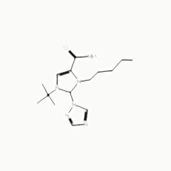 CCCCCN1C(C(N)=O)=CN(C(C)(C)C)C1n1cncn1